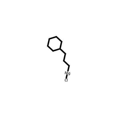 [Cl][Mg][CH2]CCC1CCCCC1